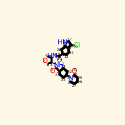 O=C(N[C@H]1COC[C@H]1NC(=O)c1ccc2c(Cl)c[nH]c2c1)c1ccc(-n2ccccc2=O)cc1